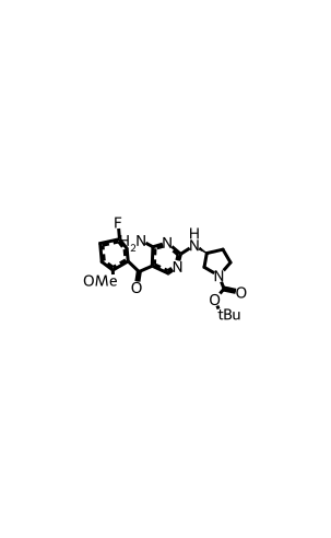 COc1ccc(F)cc1C(=O)c1cnc(N[C@H]2CCN(C(=O)OC(C)(C)C)C2)nc1N